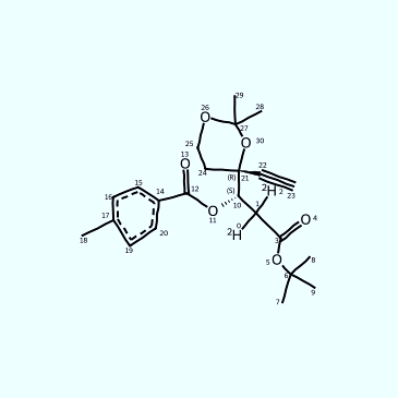 [2H]C([2H])(C(=O)OC(C)(C)C)[C@H](OC(=O)c1ccc(C)cc1)[C@]1(C#C)CCOC(C)(C)O1